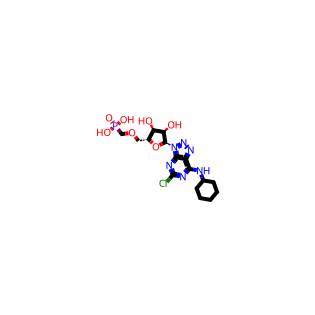 O=P(O)(O)COC[C@H]1O[C@@H](n2nnc3c(NC4CCCCC4)nc(Cl)nc32)[C@H](O)[C@@H]1O